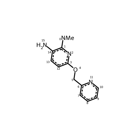 CNc1nc(OCc2ccccn2)ccc1N